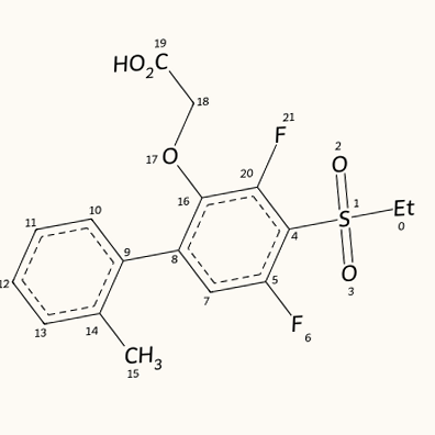 CCS(=O)(=O)c1c(F)cc(-c2ccccc2C)c(OCC(=O)O)c1F